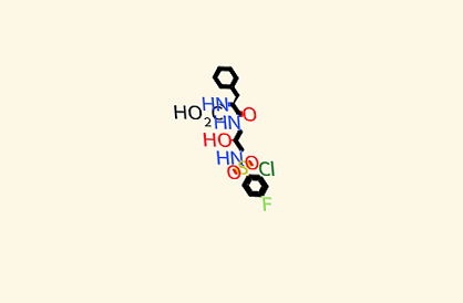 O=C(O)N[C@@H](CC1CCCCC1)C(=O)NC[C@@H](O)CNS(=O)(=O)c1ccc(F)cc1Cl